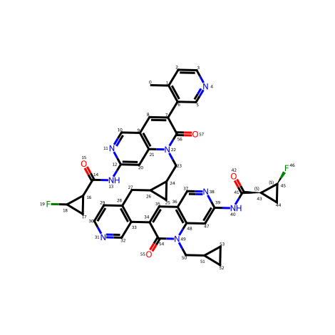 Cc1ccncc1-c1cc2cnc(NC(=O)C3CC3F)cc2n(CC2CC2Cc2ccncc2-c2cc3cnc(NC(=O)[C@@H]4C[C@@H]4F)cc3n(CC3CC3)c2=O)c1=O